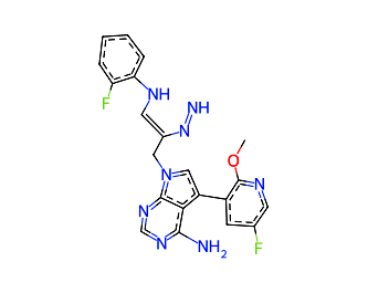 COc1ncc(F)cc1-c1cn(C/C(=C/Nc2ccccc2F)N=N)c2ncnc(N)c12